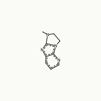 CN1CCn2c1nc1cccnc12